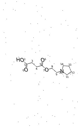 O=C(O)CCC(=O)OCCN1CCCC1